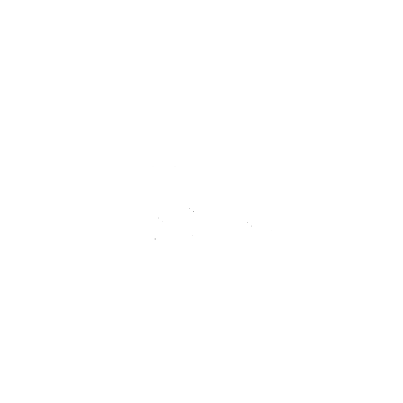 CCc1csc([C@H](Cc2ccc(N[SH](=O)=O)cc2)NC(=O)Cc2cccc(F)c2)n1